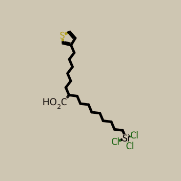 O=C(O)C(CCCCCCCCC[Si](Cl)(Cl)Cl)CCCCCCc1ccsc1